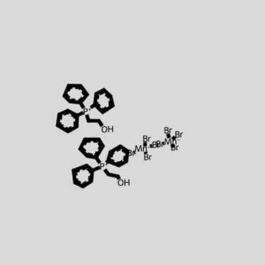 OCC[P+](c1ccccc1)(c1ccccc1)c1ccccc1.OCC[P+](c1ccccc1)(c1ccccc1)c1ccccc1.[Br][Mn-]([Br])([Br])[Br].[Br][Mn-]([Br])([Br])[Br]